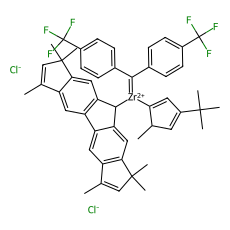 CC1=CC(C)(C)c2cc3c(cc21)-c1cc2c(cc1[CH]3[Zr+2]([C]1=CC(C(C)(C)C)=CC1C)=[C](c1ccc(C(F)(F)F)cc1)c1ccc(C(F)(F)F)cc1)C(C)(C)C=C2C.[Cl-].[Cl-]